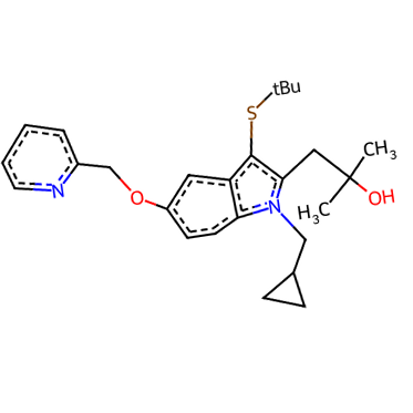 CC(C)(O)Cc1c(SC(C)(C)C)c2cc(OCc3ccccn3)ccc2n1CC1CC1